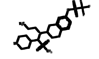 CCCN(C1CCc2ccc(OS(=O)(=O)C(F)(F)F)cc2C1)C(C1CCNCC1)S(C)(=O)=O